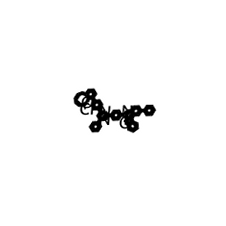 C[C@H]1/C=C\C=C/Cc2cccc(-c3ccc(-c4cc(-c5ccccc5)nc(-c5ccc(-c6nc7ccc(-c8ccccc8)cc7c7c6oc6ccccc67)cc5)n4)cc3)c2O1